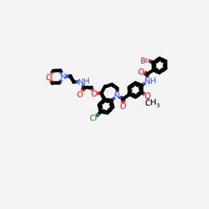 COc1cc(C(=O)N2CCCC(OCC(=O)NCCN3CCOCC3)c3cc(Cl)ccc32)ccc1NC(=O)c1ccccc1Br